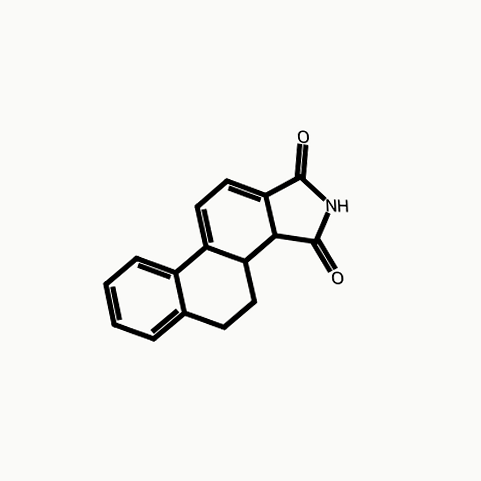 O=C1NC(=O)C2C1=CC=C1c3ccccc3CCC12